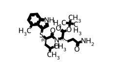 Cc1cccc2[nH]cc(S[C@H](CC(C)C)C(=O)N[C@@H](CCC(N)=O)C(=O)OC(C)(C)C)c12